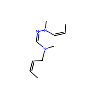 C/C=C\CN(C)/C=N\N(C)/C=C\C